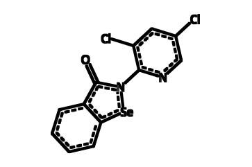 O=c1c2ccccc2[se]n1-c1ncc(Cl)cc1Cl